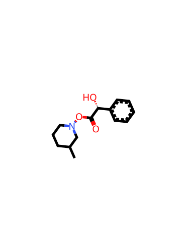 CC1CCCN(OC(=O)[C@H](O)c2ccccc2)C1